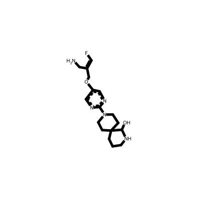 NC/C(=C\F)COc1cnc(N2CCC3(CCCNC3O)CC2)nc1